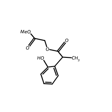 COC(=O)COC(=O)C(C)c1ccccc1O